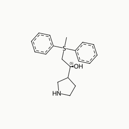 CS(C[C@@H](O)C1CCNC1)(c1ccccc1)c1ccccc1